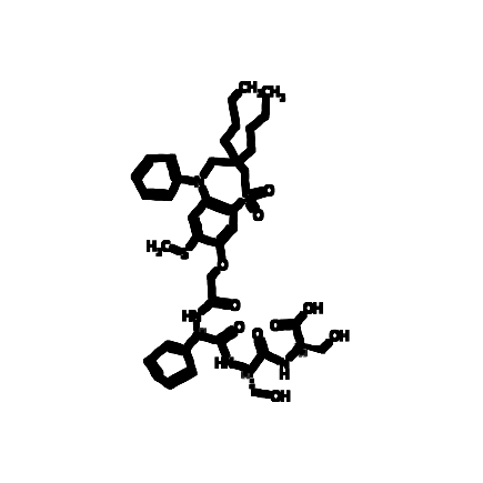 CCCCC1(CCCC)CN(c2ccccc2)c2cc(SC)c(OCC(=O)N[C@@H](C(=O)N[C@@H](CO)C(=O)N[C@H](CO)C(=O)O)c3ccccc3)cc2S(=O)(=O)C1